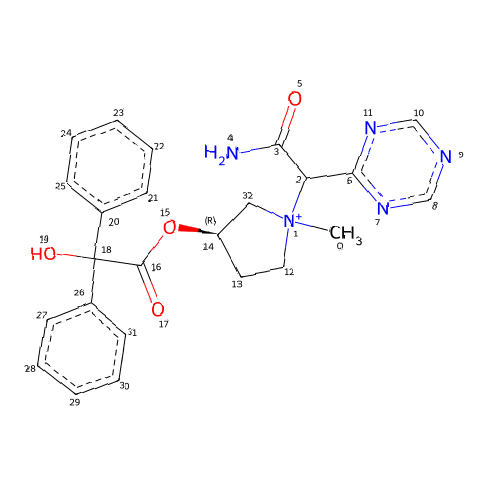 C[N+]1(C(C(N)=O)c2ncncn2)CC[C@@H](OC(=O)C(O)(c2ccccc2)c2ccccc2)C1